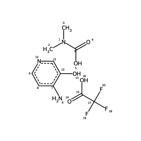 CN(C)C(=O)O.Nc1ccncc1O.O=C(O)C(F)(F)F